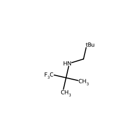 CC(C)(C)CNC(C)(C)C(F)(F)F